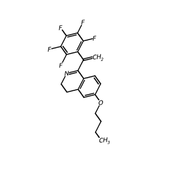 C=C(C1=NCCc2cc(OCCCC)ccc21)c1c(F)c(F)c(F)c(F)c1F